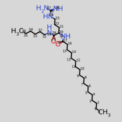 CCCCCCCCCCCCCCCCCC(=O)NC(CCCNC(=N)N)C(=O)NCCCCCC